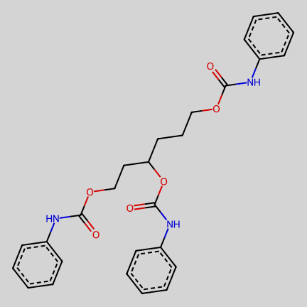 O=C(Nc1ccccc1)OCCCC(CCOC(=O)Nc1ccccc1)OC(=O)Nc1ccccc1